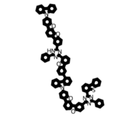 c1ccc(C2=NC(c3cccc4c3oc3ccc(-c5cccc6c5c5ccccc5n6-c5ccc6c(c5)oc5c6ccc6oc7ccc(-c8nc(-c9ccccc9)nc(-c9cccc%10c9sc9ccccc9%10)n8)cc7c65)cc34)=NC(c3ccc4oc5c(ccc6c7ccc(-n8c9ccccc9c9ccccc98)cc7oc65)c4c3)N2)cc1